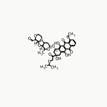 COc1cccc2c1C(=O)c1c(O)c3c(c(O)c1C2=O)C[C@@](O)(C(=O)COC(C)C)C[C@@H]3O[C@H]1CC2[C@H](O[C@@H]3[C@@H](C=O)OCCN23)[C@H](C)O1